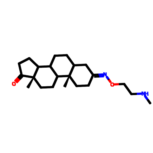 CNCCON=C1CC[C@@]2(C)C(CCC3C2CC[C@]2(C)C(=O)CCC32)C1